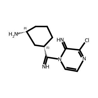 N=C([C@H]1CCC[C@@H](N)C1)n1ccnc(Cl)c1=N